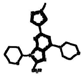 CCOC(=O)c1nc2c(N3CCOCC3)cc(-c3cnn(C)c3)nc2n1C1CCCCO1